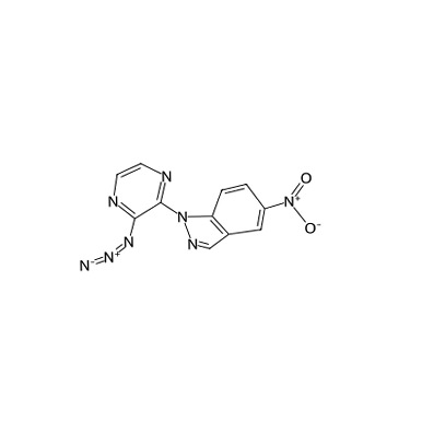 [N-]=[N+]=Nc1nccnc1-n1ncc2cc([N+](=O)[O-])ccc21